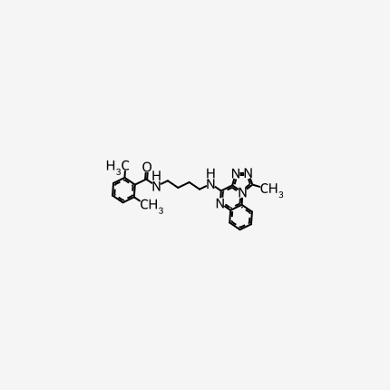 Cc1cccc(C)c1C(=O)NCCCCNc1nc2ccccc2n2c(C)nnc12